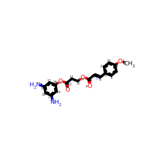 COc1ccc(/C=C/C(=O)OCCC(=O)Oc2cc(N)cc(N)c2)cc1